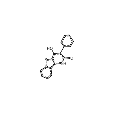 O=c1[nH]c2c(sc3ccccc32)c(O)c1-c1ccccc1